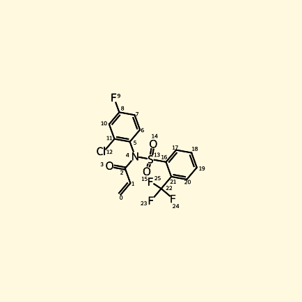 C=CC(=O)N(c1ccc(F)cc1Cl)S(=O)(=O)c1ccccc1C(F)(F)F